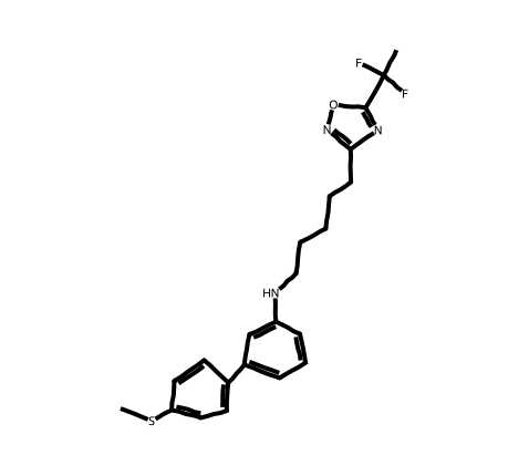 CSc1ccc(-c2cccc(NCCCCCc3noc(C(C)(F)F)n3)c2)cc1